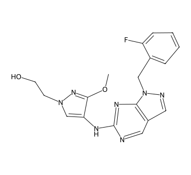 COc1nn(CCO)cc1Nc1ncc2cnn(Cc3ccccc3F)c2n1